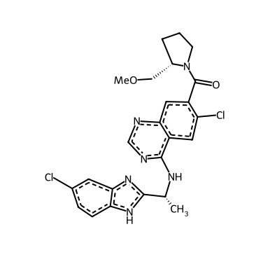 COC[C@@H]1CCCN1C(=O)c1cc2ncnc(N[C@H](C)c3nc4cc(Cl)ccc4[nH]3)c2cc1Cl